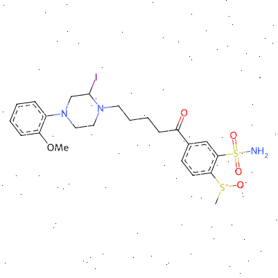 COc1ccccc1N1CCN(CCCCC(=O)c2ccc([S+](C)[O-])c(S(N)(=O)=O)c2)C(I)C1